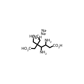 NC(CC(=O)O)C(N)C(CC(=O)O)(CC(=O)O)CC(=O)O.[Na].[Na]